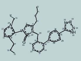 CCCCc1cn(-c2c(CCC)ccn2CC)c(=O)n1Cc1cnccc1-c1ccc(-c2nnn[nH]2)cc1